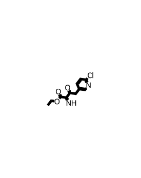 CCOC(=O)C(=N)C(=O)Cc1ccc(Cl)nc1